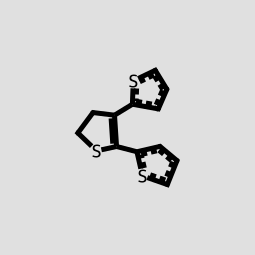 c1csc(C2=C(c3cccs3)SCC2)c1